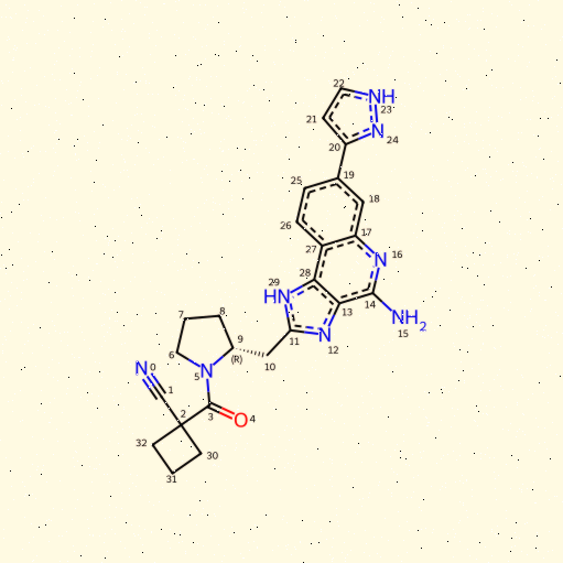 N#CC1(C(=O)N2CCC[C@@H]2Cc2nc3c(N)nc4cc(-c5cc[nH]n5)ccc4c3[nH]2)CCC1